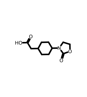 O=C(O)CC1CCC(N2CCOC2=O)CC1